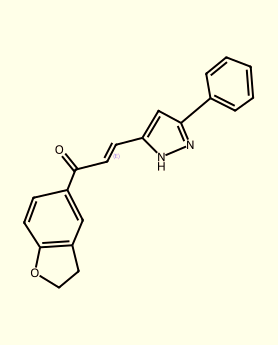 O=C(/C=C/c1cc(-c2ccccc2)n[nH]1)c1ccc2c(c1)CCO2